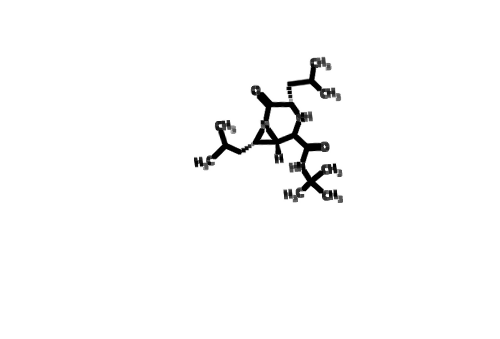 CC(C)C[C@@H]1NC(C(=O)NC(C)(C)C)[C@@H]2[C@H](CC(C)C)N2C1=O